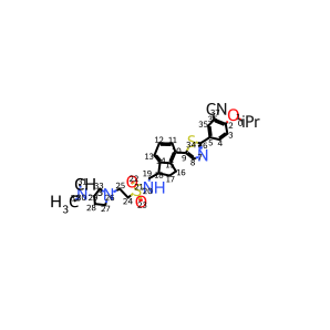 CC(C)Oc1ccc(-c2ncc(-c3cccc4c3CCC4CNS(=O)(=O)CCN3CC[C@H](N(C)C)C3)s2)cc1C#N